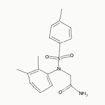 Cc1ccc(S(=O)(=O)N(CC(N)=O)c2cccc(C)c2C)cc1